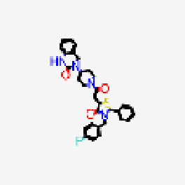 O=C(CC1SC(c2ccccc2)N(Cc2ccc(F)cc2)C1=O)N1CCC(N2Cc3ccccc3NC2=O)CC1